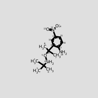 CC(C)(C)[SiH2]OC(C)(C)c1cc([N+](=O)[O-])ccc1N